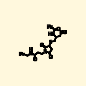 CC(C)CNC(=O)CCN1C(=O)CC(SCC(CN=O)NC(=O)C(C)C)C1=O